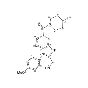 COc1ccc(-n2c(CN=O)nc3cc(C(=O)N4CCC(F)CC4)cnc32)cc1